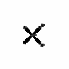 N#[C][Cd-2]([C]#N)([C]#N)[C]#N.[K+].[K+]